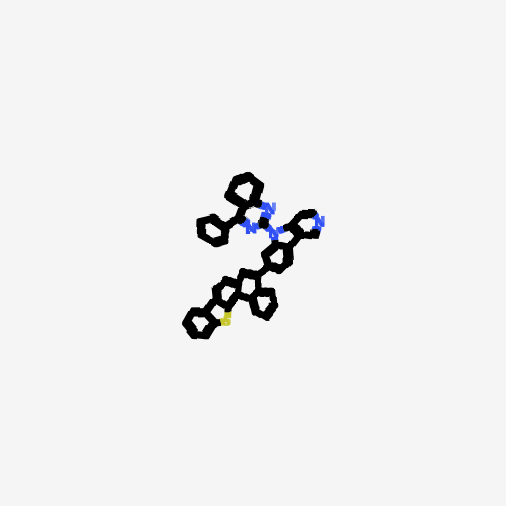 c1ccc(-c2nc(-n3c4ccncc4c4ccc(-c5cc6ccc7c8ccccc8sc7c6c6ccccc56)cc43)nc3ccccc23)cc1